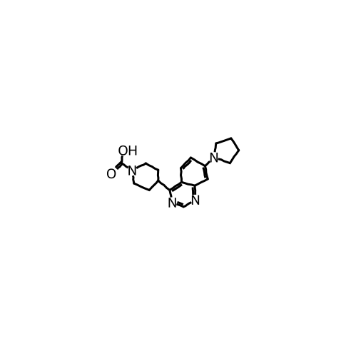 O=C(O)N1CCC(c2ncnc3cc(N4CCCC4)ccc23)CC1